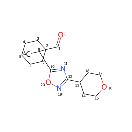 O=CC12CCC(CC1)CC2c1nc(C2CCOCC2)no1